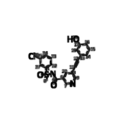 CS(=O)(=NC(=O)c1cncc(C#Cc2cccc(O)c2)c1)c1cccc(Cl)c1